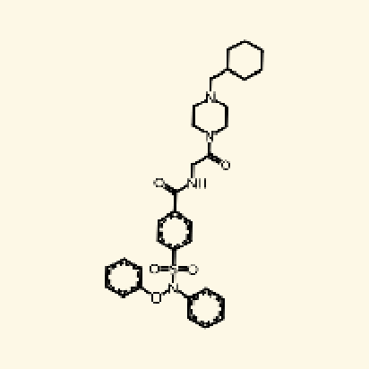 O=C(NCC(=O)N1CCN(CC2CCCCC2)CC1)c1ccc(S(=O)(=O)N(Oc2ccccc2)c2ccccc2)cc1